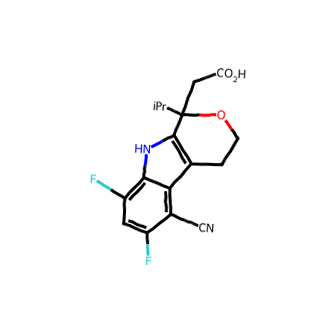 CC(C)C1(CC(=O)O)OCCc2c1[nH]c1c(F)cc(F)c(C#N)c21